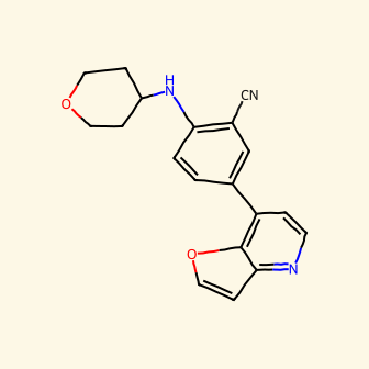 N#Cc1cc(-c2ccnc3ccoc23)ccc1NC1CCOCC1